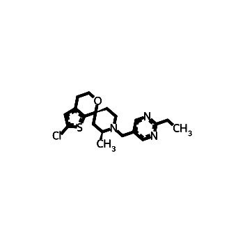 CCc1ncc(CN2CC[C@]3(C[C@@H]2C)OCCc2cc(Cl)sc23)cn1